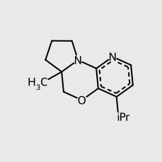 CC(C)c1ccnc2c1OCC1(C)CCCN21